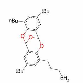 BCCCc1cc(C(C)(C)C)cc2c1OC1OC2Oc2c(CCCC)cc(C(C)(C)C)cc21